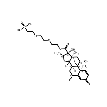 C[C@@H]1C[C@H]2[C@@H]3C[C@H](F)C4=CC(=O)C=C[C@]4(C)[C@@]3(F)[C@@H](O)C[C@]2(C)[C@@]1(O)C(=O)SCCOCCOCCP(=O)(O)O